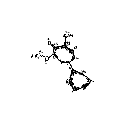 COc1cc(-c2ccccc2)ccc(O)c1=O